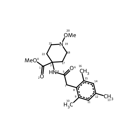 COC(=O)C1(NC(=O)Cc2c(C)cc(C)cc2C)CCN(OC)CC1